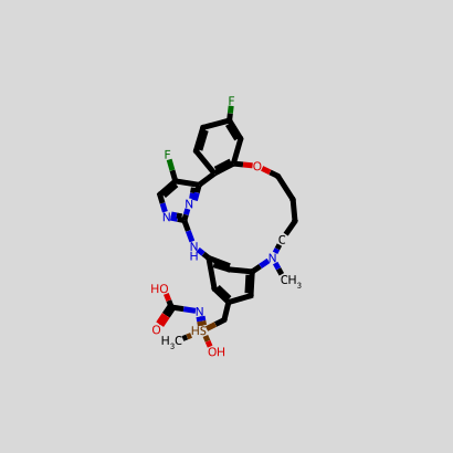 CN1CCCCOc2cc(F)ccc2-c2nc(ncc2F)Nc2cc(C[SH](C)(O)=NC(=O)O)cc1c2